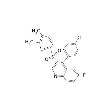 Cc1ccc(S(=O)(=O)c2cnc3ccc(F)cc3c2-c2ccc(Cl)cc2)cc1C